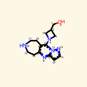 OCC1CN(c2c3c(nc4ccnn24)CCNCC3)C1